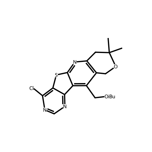 CC(C)COCc1c2c(nc3sc4c(Cl)ncnc4c13)CC(C)(C)OC2